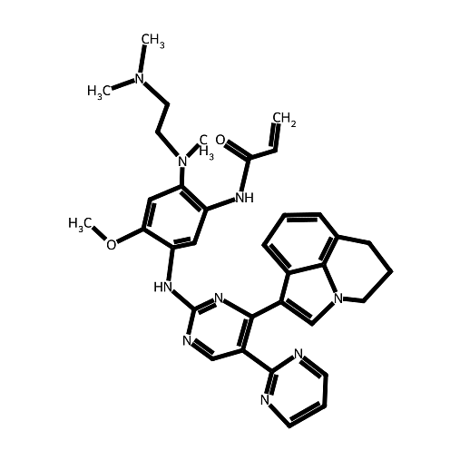 C=CC(=O)Nc1cc(Nc2ncc(-c3ncccn3)c(-c3cn4c5c(cccc35)CCC4)n2)c(OC)cc1N(C)CCN(C)C